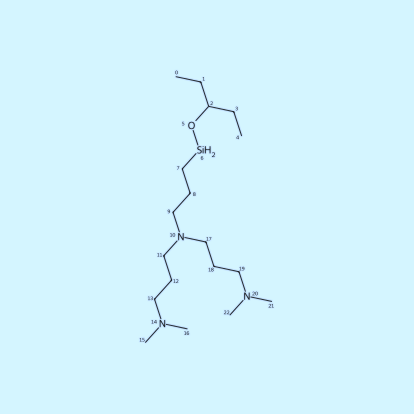 CCC(CC)O[SiH2]CCCN(CCCN(C)C)CCCN(C)C